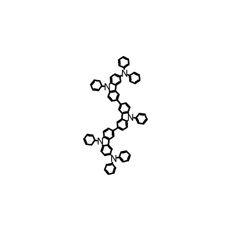 C1=CCC(n2c3ccc(-c4ccc5c(c4)c4cc(-c6ccc7c(c6)c6cc(N(c8ccccc8)c8ccccc8)ccc6n7C6C=CC=CC6)ccc4n5-c4ccccc4)cc3c3cc(N(c4ccccc4)c4ccccc4)ccc32)C=C1